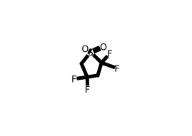 O=S1(=O)CC(F)(F)CC1(F)F